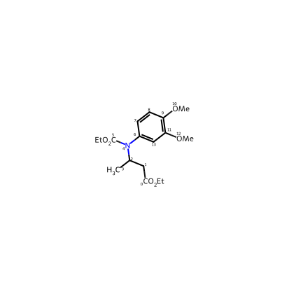 CCOC(=O)CC(C)N(C(=O)OCC)c1ccc(OC)c(OC)c1